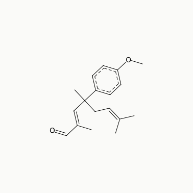 COc1ccc(C(C)(/C=C(\C)C=O)CC=C(C)C)cc1